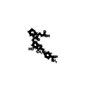 Cl.Cn1c(CNc2ccc(C(=N)N)cc2)nc2cc(Cn3c(=O)n(CCC(=O)O)c4ncccc43)ccc21